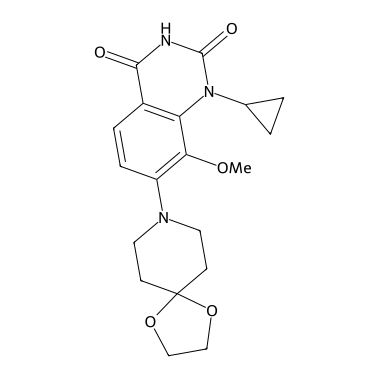 COc1c(N2CCC3(CC2)OCCO3)ccc2c(=O)[nH]c(=O)n(C3CC3)c12